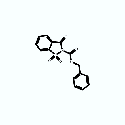 O=C(OCc1ccccc1)N1C(=O)c2ccccc2S1(=O)=O